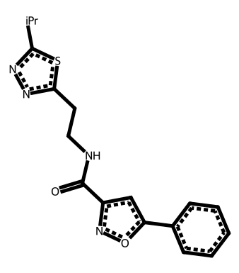 CC(C)c1nnc(CCNC(=O)c2cc(-c3ccccc3)on2)s1